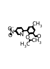 Cc1cc(C=O)c(OC(C)C)c(-c2ccc([N+](=O)[O-])cn2)c1